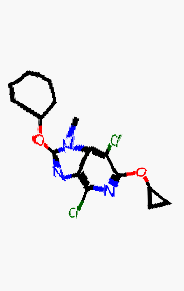 Cn1c(OC2CCCCC2)nc2c(Cl)nc(OC3CC3)c(Cl)c21